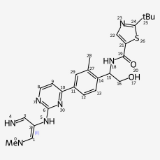 CN/C=C(\C=N)Nc1nccc(-c2ccc(C(CO)NC(=O)c3cnc(C(C)(C)C)s3)c(C)c2)n1